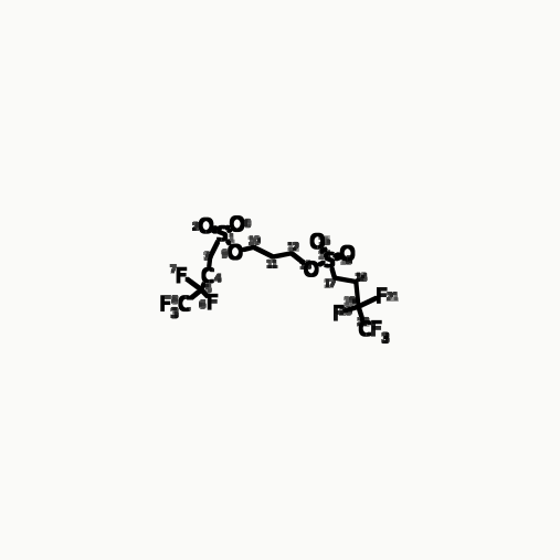 O=S(=O)(CCC(F)(F)C(F)(F)F)OCCCOS(=O)(=O)CCC(F)(F)C(F)(F)F